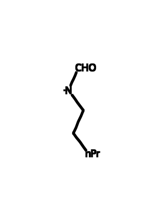 CCCCC[N]C=O